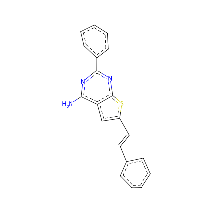 Nc1nc(-c2ccccc2)nc2sc(C=Cc3ccccc3)cc12